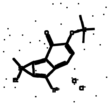 CC[Si]1(C)C2=[C]([Ti+2])C3=CC=C(O[Si](C)(C)C)C(=O)C3=C21.[Cl-].[Cl-]